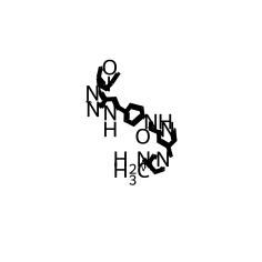 C[C@@]1(N)CCN(Cc2ccnc(C(=O)Nc3ccc(-c4cc5c(N6C7CCC6COC7)ncnc5[nH]4)cc3)c2)C1